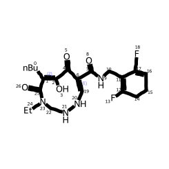 CCCC/C1=C(/O)C(=O)/C(C(=O)NCC2=C(F)CCC=C2F)=C\NNCN(CC)C1=O